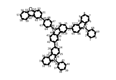 c1ccc(-n2c3ccccc3c3cc(-c4ccc5c(c4)c4cc(-c6ccc7c(c6)c6ccccc6n7-c6ccccc6)ccc4n5-c4ccc(-c5ccc6oc7ccccc7c6c5)cc4)ccc32)cc1